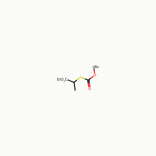 CCCCOC(=O)SC(C)C(=O)OCC